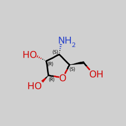 N[C@H]1[C@@H](O)[C@H](O)O[C@@H]1CO